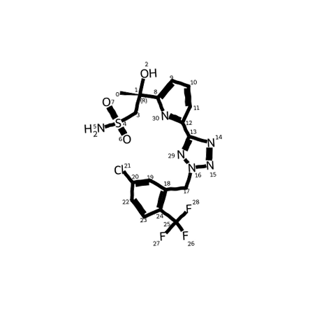 C[C@](O)(CS(N)(=O)=O)c1cccc(-c2nnn(Cc3cc(Cl)ccc3C(F)(F)F)n2)n1